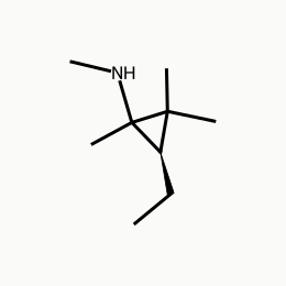 CC[C@@H]1C(C)(C)C1(C)NC